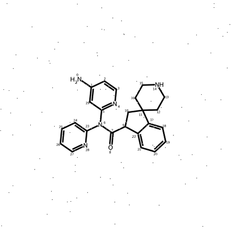 Nc1ccnc(N(C(=O)C2CC3(CCNCC3)c3ccccc32)c2ccccn2)c1